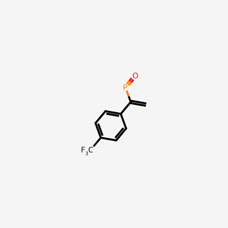 C=C(P=O)c1ccc(C(F)(F)F)cc1